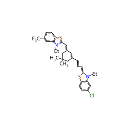 CCN1/C(=C/C=C/C2=CC(=C/c3sc4ccc(C(F)(F)F)cc4[n+]3CC)/CC(C)(C)C2)Sc2ccc(Cl)cc21